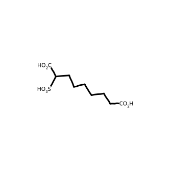 O=C(O)CCCCCCC(C(=O)O)S(=O)(=O)O